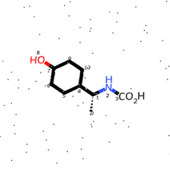 C[C@@H](NC(=O)O)C1CCC(O)CC1